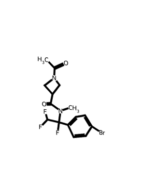 CC(=O)N1CC(C(=O)N(C)C(F)(c2ccc(Br)cc2)C(F)F)C1